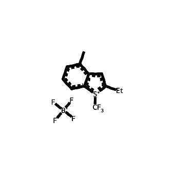 CCc1cc2c(C)cccc2[s+]1C(F)(F)F.F[B-](F)(F)F